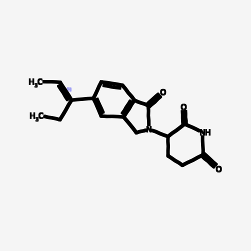 C/C=C(\CC)c1ccc2c(c1)CN(C1CCC(=O)NC1=O)C2=O